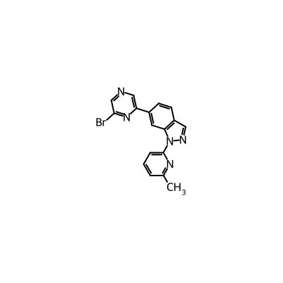 Cc1cccc(-n2ncc3ccc(-c4cncc(Br)n4)cc32)n1